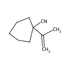 C=C(C)C1(C#N)CCCCC1